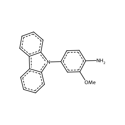 COc1cc(-n2c3ccccc3c3ccccc32)ccc1N